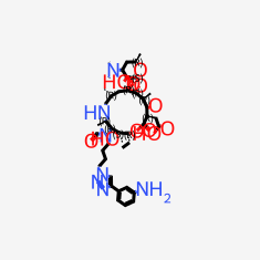 CC[C@H]1OC(=O)[C@H](CC(=O)O)C(=O)[C@H](C)[C@@H](O[C@@H]2O[C@H](C)CC(N(C)C)C2O)[C@](C)(OC)C[C@@H](C)CN[C@H](C)[C@@H](N(C=O)CCCCn2cc(-c3cccc(N)c3)nn2)[C@]1(C)O